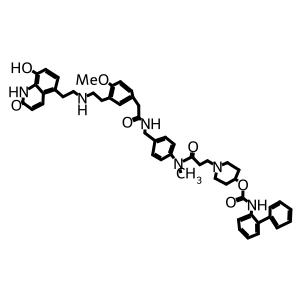 COc1ccc(CC(=O)NCc2ccc(N(C)C(=O)CCN3CCC(OC(=O)Nc4ccccc4-c4ccccc4)CC3)cc2)cc1CCNCCc1ccc(O)c2[nH]c(=O)ccc12